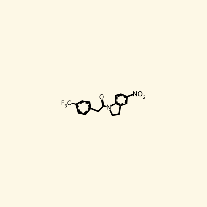 O=C(Cc1ccc(C(F)(F)F)cc1)N1CCc2cc([N+](=O)[O-])ccc21